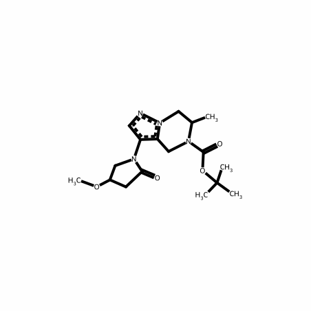 COC1CC(=O)N(c2cnn3c2CN(C(=O)OC(C)(C)C)C(C)C3)C1